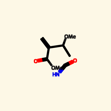 C=C(C(=O)OC)C(C)OC.N=C=O